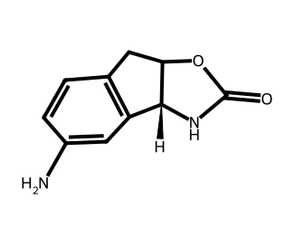 Nc1ccc2c(c1)[C@H]1NC(=O)OC1C2